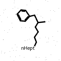 CCCCCCCCCCCC(C)Cc1cc[c]cc1